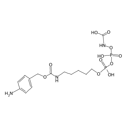 Nc1ccc(COC(=O)NCCCCCOP(=O)(O)OP(=O)(O)ONC(=O)O)cc1